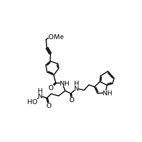 COCC#Cc1ccc(C(=O)NC(CCC(=O)NO)C(=O)NCCc2c[nH]c3ccccc23)cc1